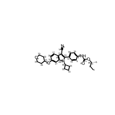 CC[C@@H](C)OC(=O)Nc1ccc(-c2c(C#N)c3ccc(OC4CCOCC4)cc3n2C2CCC2)cc1